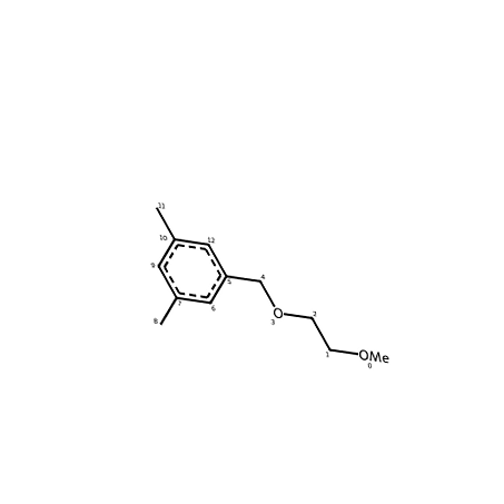 COCCOCc1cc(C)cc(C)c1